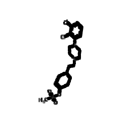 CS(=O)(=O)OC1CCC(CCN2CCN(c3cccc(Cl)c3Cl)CC2)CC1